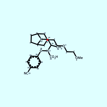 COCCOCCN1CC2CCC(C1)N2CC(C)N(Oc1ccc(C#N)cc1)C(=O)O